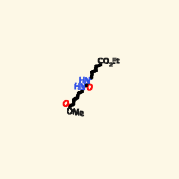 CCOC(=O)CCCCCNC(=O)NCCCCCC(=O)OC